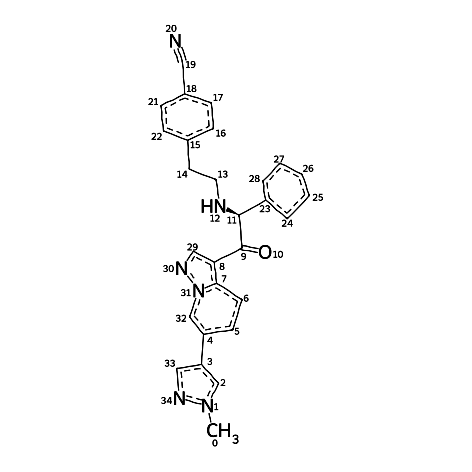 Cn1cc(-c2ccc3c(C(=O)[C@@H](NCCc4ccc(C#N)cc4)c4ccccc4)cnn3c2)cn1